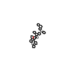 c1ccc(-c2ccccc2N(c2ccc3c(c2)oc2c4ccc(N(c5ccccc5)c5ccc6c(ccc7ccccc76)c5)cc4c4ccccc4c32)c2cccc3c2oc2ccccc23)cc1